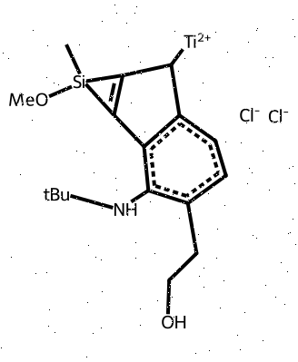 CO[Si]1(C)C2=C1[CH]([Ti+2])c1ccc(CCO)c(NC(C)(C)C)c12.[Cl-].[Cl-]